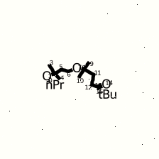 CCCOC(C)(C)CCOC(C)(C)CCC(=O)C(C)(C)C